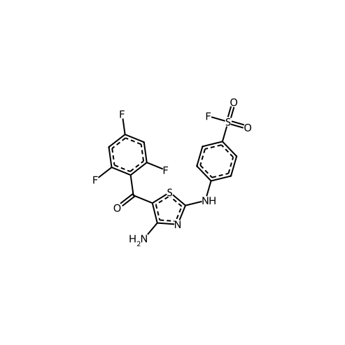 Nc1nc(Nc2ccc(S(=O)(=O)F)cc2)sc1C(=O)c1c(F)cc(F)cc1F